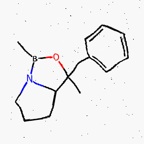 CB1OC(C)(c2ccccc2)C2CCCN12